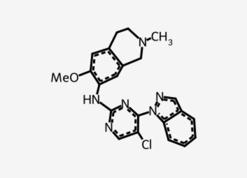 COc1cc2c(cc1Nc1ncc(Cl)c(-n3ncc4ccccc43)n1)CN(C)CC2